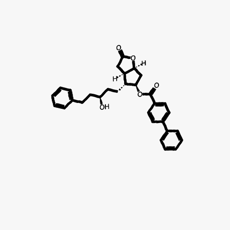 O=C1C[C@@H]2[C@@H](CC[C@@H](O)CCc3ccccc3)[C@H](OC(=O)c3ccc(-c4ccccc4)cc3)C[C@@H]2O1